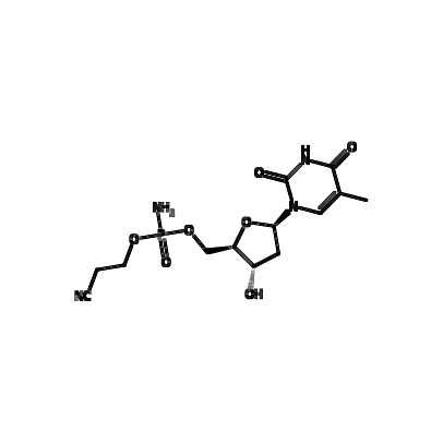 Cc1cn([C@H]2C[C@H](O)[C@@H](COP(N)(=O)OCCC#N)O2)c(=O)[nH]c1=O